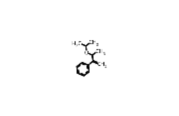 C=C(c1ccccc1)C(C)OC(C)C